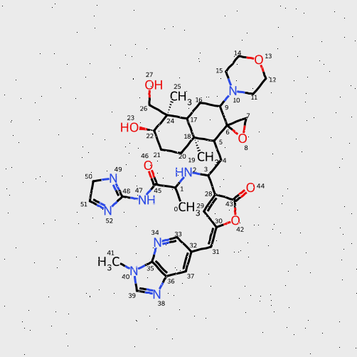 CC(NC(CC1C2(CO2)C(N2CCOCC2)CC2[C@]1(C)CC[C@@H](O)[C@@]2(C)CO)C1=C/C(=C\c2cnc3c(c2)ncn3C)OC1=O)C(=O)NC1=NCC=N1